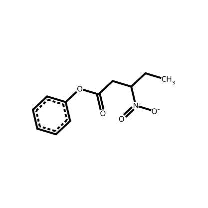 CCC(CC(=O)Oc1ccccc1)[N+](=O)[O-]